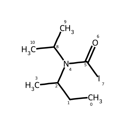 CCC(C)N(C(=O)I)C(C)C